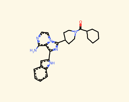 Nc1nccn2c(C3CCN(C(=O)C4CCCCC4)CC3)nc(-c3cc4ccccc4[nH]3)c12